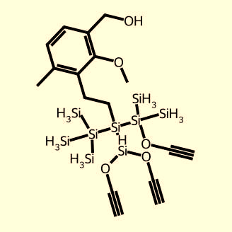 C#CO[SiH](OC#C)[Si](CCc1c(C)ccc(CO)c1OC)([Si]([SiH3])([SiH3])[SiH3])[Si]([SiH3])([SiH3])OC#C